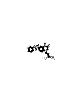 CC(C)=CCN1CC(=O)Nc2cc(S(=O)(=O)Oc3ccccc3)ccc21